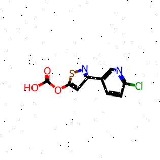 O=C(O)Oc1cc(-c2ccc(Cl)nc2)ns1